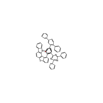 c1ccc(-c2ccc(-c3ccccc3)c(-c3cnc(-c4cccc5sc6ccc7c8ccccc8n(-c8ccccc8)c7c6c45)c(-c4nc(-c5ccccc5)nc(-c5ccccc5)n4)c3)c2)cc1